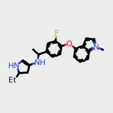 CCC1CC(NC(C)c2ccc(Oc3cccc4c3ccn4C)c(F)c2)=CN1